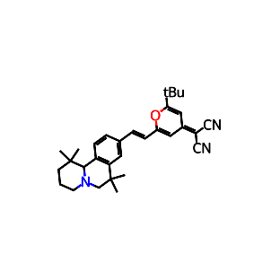 CC(C)(C)C1=CC(=C(C#N)C#N)C=C(C=Cc2ccc3c(c2)C(C)(C)CN2CCCC(C)(C)C32)O1